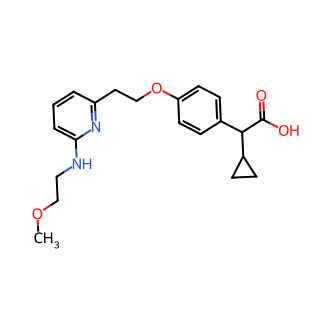 COCCNc1cccc(CCOc2ccc(C(C(=O)O)C3CC3)cc2)n1